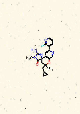 CN1C(=O)C2(CC(C)(CC3CC3)Oc3cnc(-c4cccnc4F)cc32)N=C1N